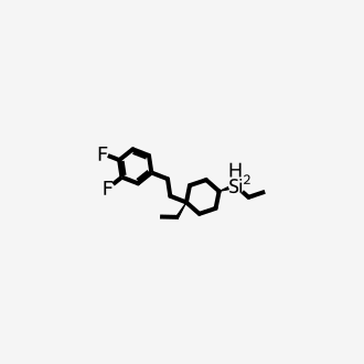 CC[SiH2][C@H]1CC[C@](CC)(CCc2ccc(F)c(F)c2)CC1